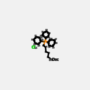 CCCCCCCCCCCCCCC[P+](c1ccccc1)(c1ccccc1)c1ccccc1.[Cl-]